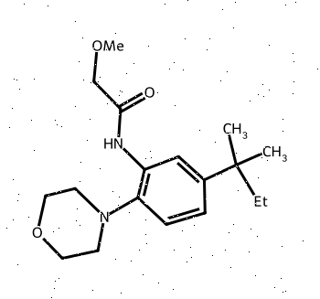 CCC(C)(C)c1ccc(N2CCOCC2)c(NC(=O)COC)c1